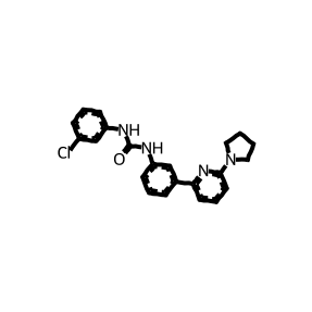 O=C(Nc1cccc(Cl)c1)Nc1cccc(-c2cccc(N3CCCC3)n2)c1